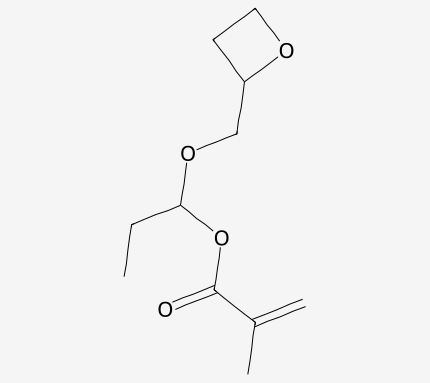 C=C(C)C(=O)OC(CC)OCC1CCO1